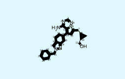 Nc1ncnn2c(C[C@@H]3C[C@@H]3CO)cc(-c3ccc4cn(Cc5ccccc5)nc4c3)c12